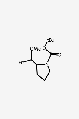 COC(C(C)C)C1CCCN1C(=O)OC(C)(C)C